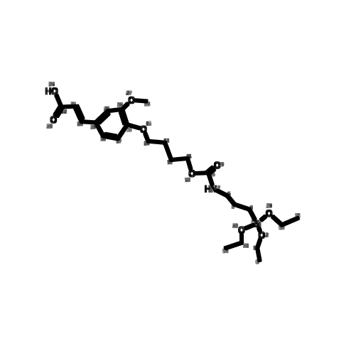 CCO[Si](CCCNC(=O)OCCCCOc1ccc(C=CC(=O)O)cc1OC)(OCC)OCC